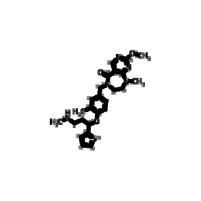 CNCCC(Oc1ccc(CN2CCN(C)c3nc(OC)ncc3C2=O)cc1C)c1cccs1